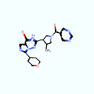 CC1CN(C(=O)c2cncnc2)CC1c1nn2c(C3CCOCC3)ncc2c(=O)[nH]1